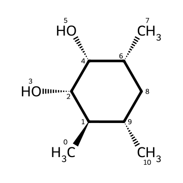 C[C@H]1[C@H](O)[C@H](O)[C@H](C)C[C@@H]1C